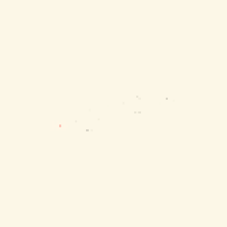 COc1ccc(-c2ccc3cc(O)ccc3c2)cc1